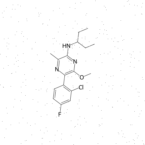 CCC(CC)Nc1nc(OC)c(-c2ccc(F)cc2Cl)nc1C